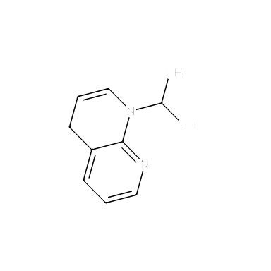 CC(C)N1C=CCc2cccnc21